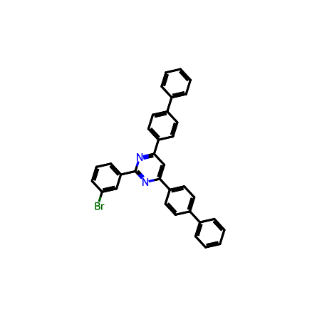 Brc1cccc(-c2nc(-c3ccc(-c4ccccc4)cc3)cc(-c3ccc(-c4ccccc4)cc3)n2)c1